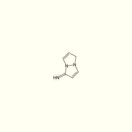 N=c1ccn2n1C=CC2